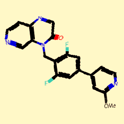 COc1cc(-c2cc(F)c(Cn3c(=O)cnc4ccncc43)c(F)c2)ccn1